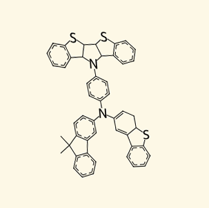 CC1(C)c2ccccc2-c2cc(N(C3=CCC4Sc5ccccc5C4=C3)c3ccc(N4C5c6ccccc6SC5C5Sc6ccccc6C54)cc3)ccc21